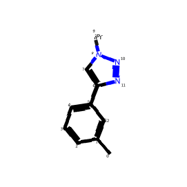 Cc1cccc(-c2cn(C(C)C)nn2)c1